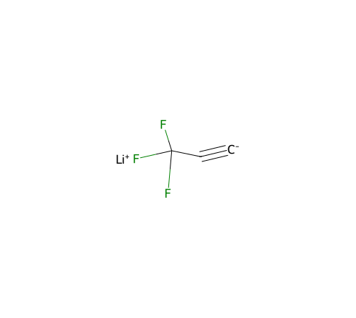 [C-]#CC(F)(F)F.[Li+]